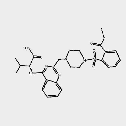 COC(=O)c1ccccc1S(=O)(=O)N1CCN(Cc2nc(N[C@H](C(N)=O)C(C)C)c3ccccc3n2)CC1